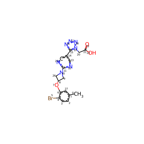 Cc1ccc(Br)c(OC2CN(c3ncc(-c4nnnn4CC(=O)O)cn3)C2)c1